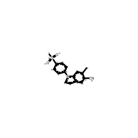 Cc1cc2c(ccn2-c2ccc(S(C)(=O)=O)cc2)cc1C#N